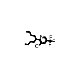 CCCCC(CCCC)c1ncc(C(F)(F)F)cc1Cl